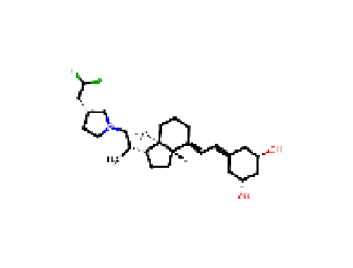 CC(CN1CC[C@H](CC(F)F)C1)[C@H]1CC[C@H]2/C(=C/C=C3C[C@@H](O)C[C@H](O)C3)CCC[C@]12C